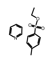 CCOS(=O)(=O)c1ccc(C)cc1.c1ccncc1